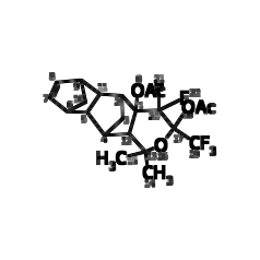 CC(=O)OC12C3CC(C4C5C=CC(C5)C43)C1C(C)(C)OC(OC(C)=O)(C(F)(F)F)C2(F)F